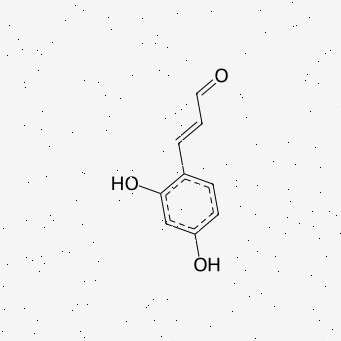 O=CC=Cc1ccc(O)cc1O